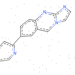 c1ccc(-c2ccc3nc4nccn4cc3c2)nc1